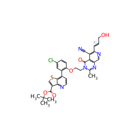 Cc1nc2cnc(/C=C/CO)c(C#N)c2c(=O)n1CCOc1ccc(Cl)cc1-c1ccnc2c(C(=O)OC(C)(C)C)csc12